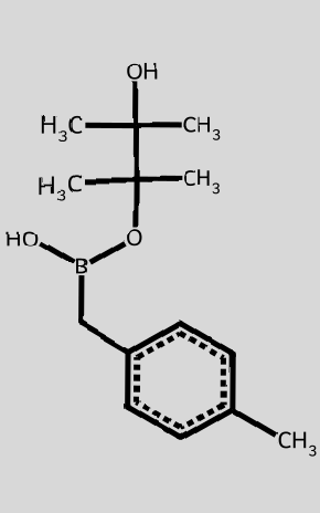 Cc1ccc(CB(O)OC(C)(C)C(C)(C)O)cc1